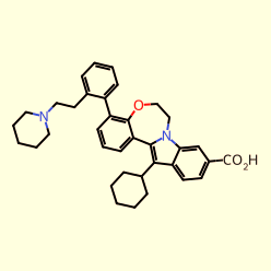 O=C(O)c1ccc2c(C3CCCCC3)c3n(c2c1)CCOc1c(-c2ccccc2CCN2CCCCC2)cccc1-3